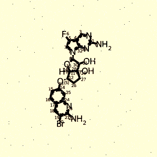 Nc1ncc2c(F)cn([C@@H]3O[C@@H]4[C@@H](Oc5ccc6cc(Br)c(N)nc6c5)CC[C@]4(O)C3O)c2n1